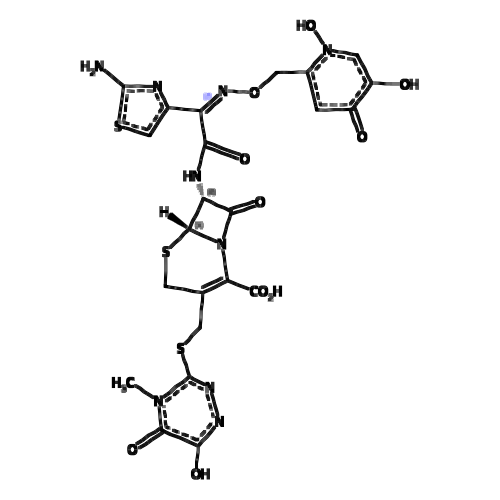 Cn1c(SCC2=C(C(=O)O)N3C(=O)[C@@H](NC(=O)/C(=N\OCc4cc(=O)c(O)cn4O)c4csc(N)n4)[C@H]3SC2)nnc(O)c1=O